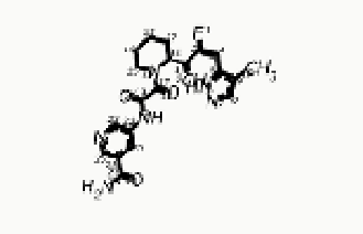 C=C(/C(F)=C\c1[nH]ncc1C)[C@@H]1CCCCN1C(=O)C(=O)Nc1cncc(C(N)=O)c1